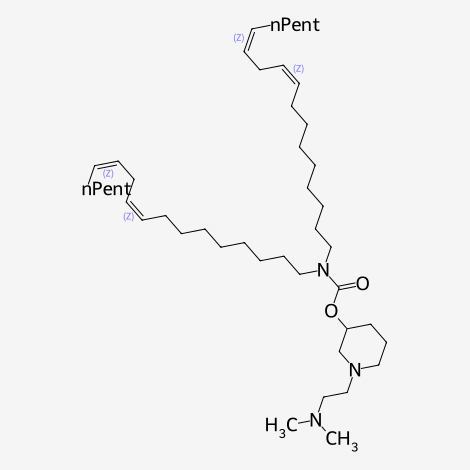 CCCCC/C=C\C/C=C\CCCCCCCCN(CCCCCCCC/C=C\C/C=C\CCCCC)C(=O)OC1CCCN(CCN(C)C)C1